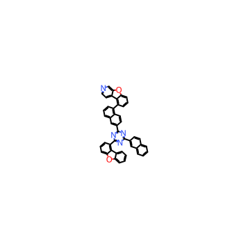 c1ccc2cc(-c3nc(-c4ccc5c(-c6cccc7oc8cnccc8c67)cccc5c4)nc(-c4cccc5oc6ccccc6c45)n3)ccc2c1